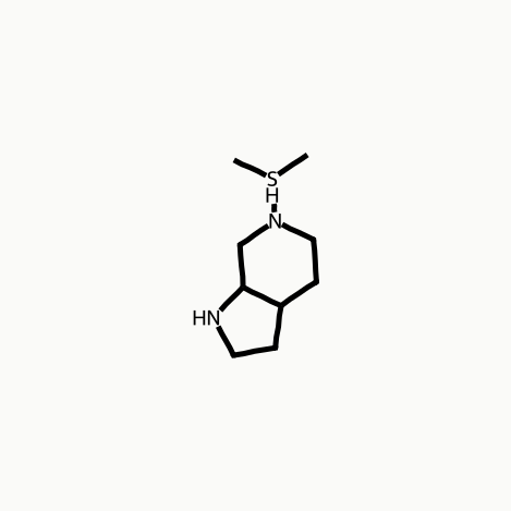 C[SH](C)N1CCC2CCNC2C1